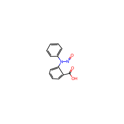 O=NN(c1ccccc1)c1ccccc1C(=O)O